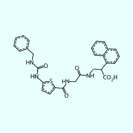 O=C(CNC(=O)c1ccc(NC(=O)NCc2ccccc2)s1)NCC(C(=O)O)c1cccc2ccccc12